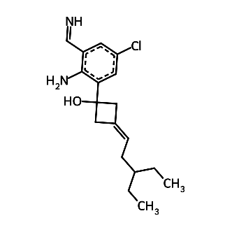 CCC(CC)CC=C1CC(O)(c2cc(Cl)cc(C=N)c2N)C1